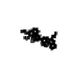 [H]/N=N/C1=Cc2ccccc2C(c2ccc(-c3ccc(C4(S(=O)(=O)O)c5ccccc5C=C(/N=N/[H])C4N)c(CC)c3)cc2CC)(S(=O)(=O)O)C1N